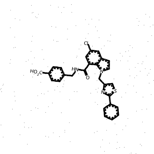 O=C(O)c1ccc(CNC(=O)c2cc(Cl)cc3ccn(Cc4csc(-c5ccccc5)n4)c23)cc1